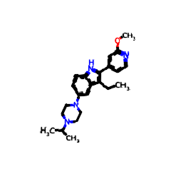 CCc1c(-c2ccnc(OC)c2)[nH]c2ccc(N3CCN(C(C)C)CC3)cc12